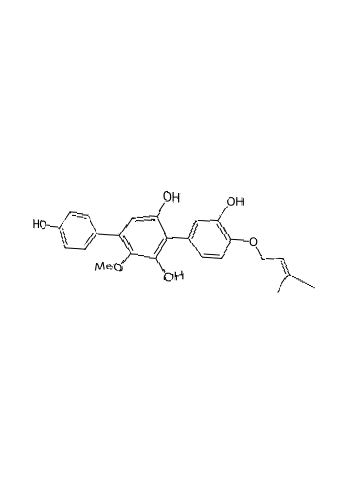 COc1c(-c2ccc(O)cc2)cc(O)c(-c2ccc(OCC=C(C)C)c(O)c2)c1O